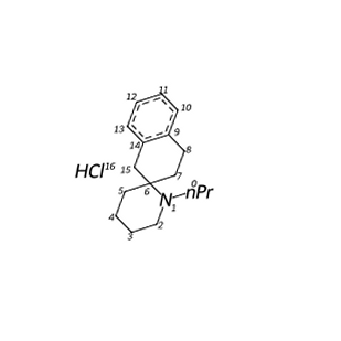 CCCN1CCCCC12CCc1ccccc1C2.Cl